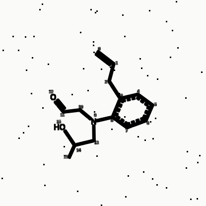 C=CCc1ccccc1N(CC=O)CC(C)O